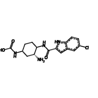 N[C@@H]1CC(NC(=O)O)CCC1NC(=O)c1cc2cc(Cl)ccc2[nH]1